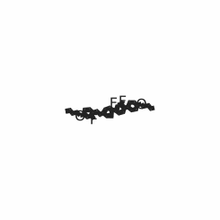 C=CCCOc1ccc(CCc2ccc(-c3ccc(C4CCC(OCCCC)CC4)c(F)c3F)cc2)c(F)c1